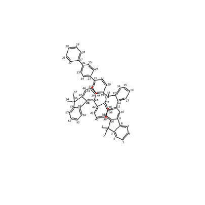 CC1(C)c2ccccc2-c2cc(-c3ccccc3N(c3ccc(-c4ccc(-c5ccccc5)cc4)cc3)c3ccccc3-c3cccc4c3-c3ccccc3C4(C)C)ccc21